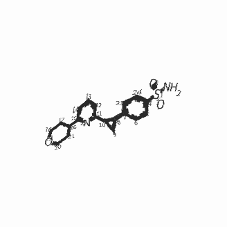 NS(=O)(=O)c1ccc(C2CC2c2cccc(C3CCOCC3)n2)cc1